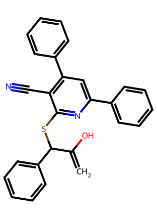 C=C(O)C(Sc1nc(-c2ccccc2)cc(-c2ccccc2)c1C#N)c1ccccc1